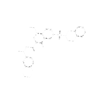 CCn1cc(C(=O)NC(C)c2ccc3c(c2)OCCO3)c(=O)c2cc(S(=O)(=O)N3CCc4ccccc4C3)ccc21